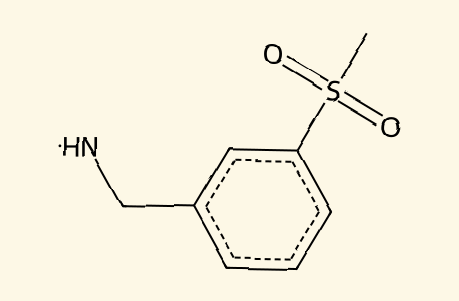 CS(=O)(=O)c1cccc(C[NH])c1